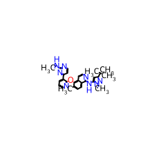 CNc1nccc(-c2cccnc2Oc2c(C)ccc3c(Nc4cc(C(C)(C)C)nn4C)nccc23)n1